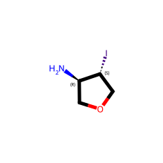 N[C@@H]1COC[C@H]1I